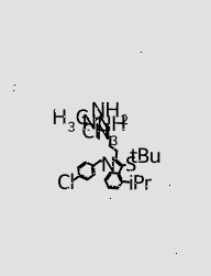 CC(C)c1cccc2c1c(SC(C)(C)C)c(CCC=NNC(N)=[N+](C)C)n2Cc1ccc(Cl)cc1